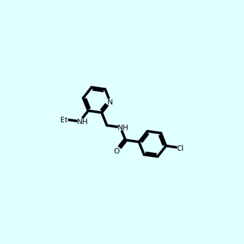 CCNc1cccnc1CNC(=O)c1ccc(Cl)cc1